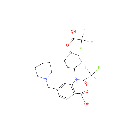 O=C(O)C(F)(F)F.O=C(O)c1ccc(CN2CCCCC2)cc1N(C(=O)C(F)(F)F)C1CCOCC1